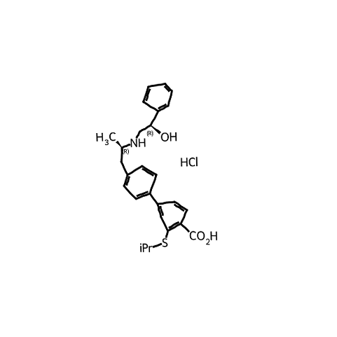 CC(C)Sc1cc(-c2ccc(C[C@@H](C)NC[C@H](O)c3ccccc3)cc2)ccc1C(=O)O.Cl